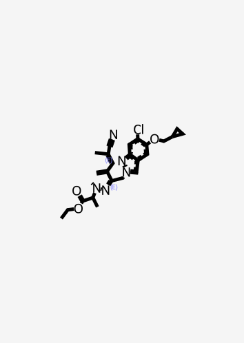 C=C(/C=C(\C)C#N)/C(Cn1cc2cc(OCC3CC3)c(Cl)cc2n1)=N\N(C)C(C)C(=O)OCC